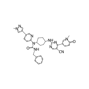 Cn1cc(-c2ccc(N(C(=O)NCc3ccccc3)C3CCC(Nc4ncc(C#N)c(-c5ccc(=O)n(C)c5)n4)CC3)nc2)cn1